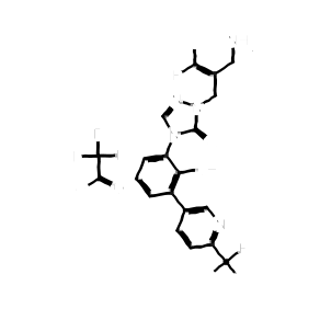 Cc1c(-c2ccc(C(F)(F)F)nc2)cccc1-n1cnn(CC(CN)=C(F)F)c1=O.O=C(O)C(F)(F)F